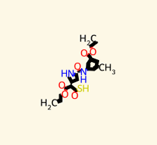 C=CCOC(=O)c1cc(C)cc(NC(=O)[C@@H]2C[C@@H](C(C(=O)S)C(=O)OCC=C)CN2)c1